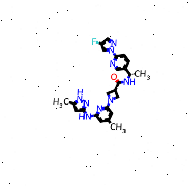 Cc1cc(Nc2cc(C)[nH]n2)nc(N2CC(C(=O)N[C@@H](C)c3ccc(-n4cc(F)cn4)nc3)C2)c1